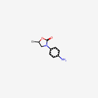 CCC1CN(c2ccc(N)cc2)C(=O)O1